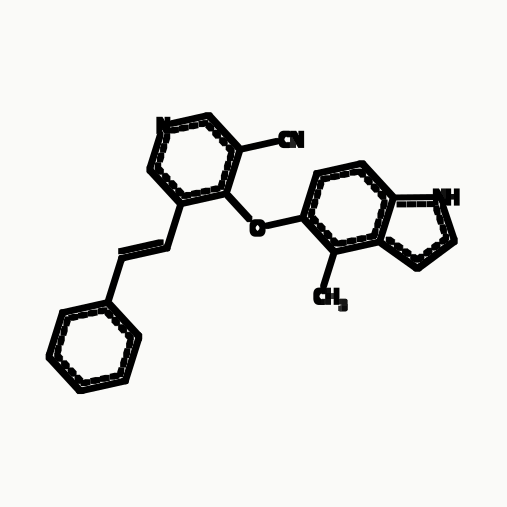 Cc1c(Oc2c(C#N)cncc2C=Cc2ccccc2)ccc2[nH]ccc12